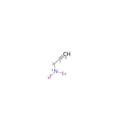 C#CCN(I)I